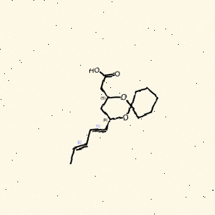 C/C=C/C=C/[C@H]1C[C@@H](CC(=O)O)OC2(CCCCC2)O1